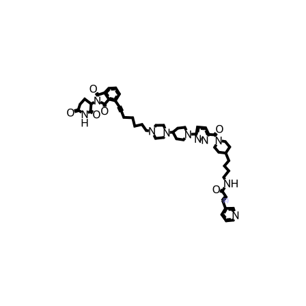 O=C(/C=C/c1cccnc1)NCCCCC1CCN(C(=O)c2ccc(N3CCC(N4CCN(CCCCCC#Cc5cccc6c5C(=O)N(C5CCC(=O)NC5=O)C6=O)CC4)CC3)nn2)CC1